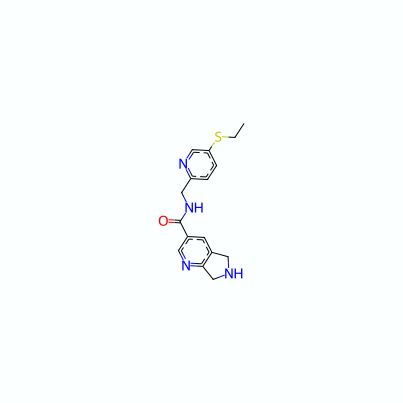 CCSc1ccc(CNC(=O)c2cnc3c(c2)CNC3)nc1